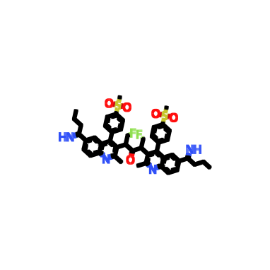 CCCC(=N)c1ccc2nc(C)c(C(CF)C(=O)C(CF)c3c(C)nc4ccc(C(=N)CCC)cc4c3-c3ccc(S(C)(=O)=O)cc3)c(-c3ccc(S(C)(=O)=O)cc3)c2c1